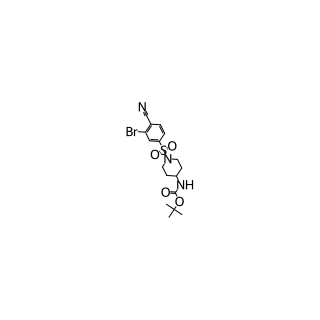 CC(C)(C)OC(=O)NC1CCN(S(=O)(=O)c2ccc(C#N)c(Br)c2)CC1